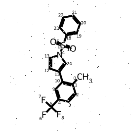 Cc1ccc(C(F)(F)F)cc1-c1ccn(S(=O)(=O)c2ccccc2)c1